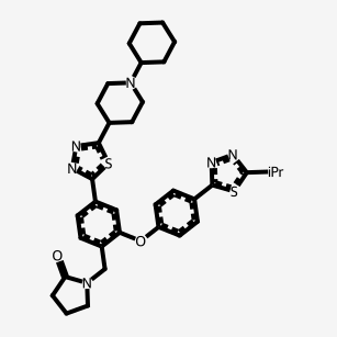 CC(C)c1nnc(-c2ccc(Oc3cc(-c4nnc(C5CCN(C6CCCCC6)CC5)s4)ccc3CN3CCCC3=O)cc2)s1